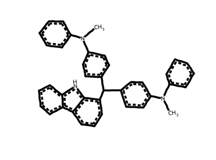 CN(c1ccccc1)c1ccc(C(c2ccc(N(C)c3ccccc3)cc2)c2cccc3c2[nH]c2ccccc23)cc1